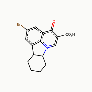 O=C(O)c1cn2c3c(cc(Br)cc3c1=O)C1CCCCC12